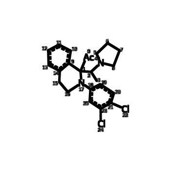 CC(=O)C1(C(C)N2CCCC2)c2ccccc2CCN1c1ccc(Cl)c(Cl)c1